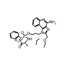 CCC[C@H](CCOP(=O)(N[C@@H](C)C(N)=O)Oc1ccccc1)n1c(COCC)nc2c(N)nc3ccccc3c21